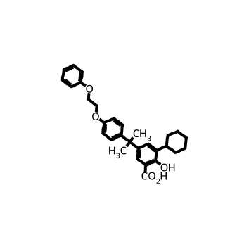 CC(C)(c1ccc(OCCOc2ccccc2)cc1)c1cc(C(=O)O)c(O)c(C2CCCCC2)c1